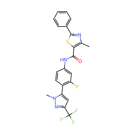 Cc1nc(-c2ccccc2)sc1C(=O)Nc1ccc(-c2cc(C(F)(F)F)nn2C)c(F)c1